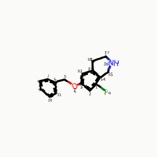 Fc1cc(OCc2ccccc2)cc2c1CNCC2